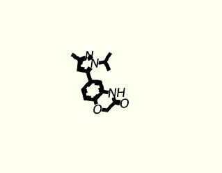 Cc1cc(-c2ccc3c(c2)NC(=O)CO3)n(C(C)C)n1